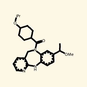 COC(C)c1ccc2c(c1)N(C(=O)C1CCC(OC(C)C)CC1)Cc1cccnc1N2